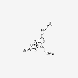 CNC(=S)NS(=O)(=O)c1cc(CCNCC=C(C)C)ccc1OCCOC